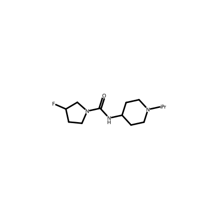 CC(C)N1CCC(NC(=O)N2CCC(F)C2)CC1